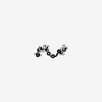 Cn1c(=O)n(C2CCC(=O)NC2=O)c2cccc(C#CCC3CCN(C[C@H]4CC[C@H](n5cc(NC(=O)c6cnn7ccc(N8C[C@H]9CC[C@@H](C8)O9)nc67)c(C(F)F)n5)CC4)CC3)c21